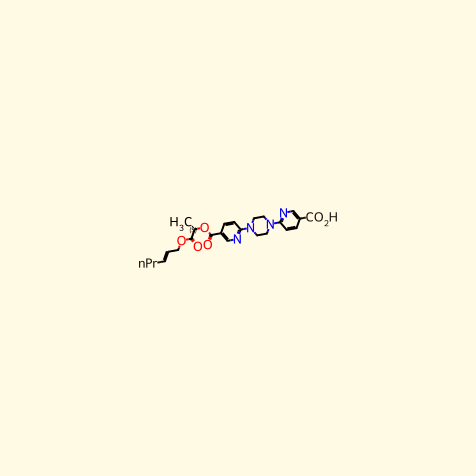 CCCC=CCOC(=O)[C@H](C)OC(=O)c1ccc(N2CCN(c3ccc(C(=O)O)cn3)CC2)nc1